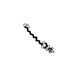 CCCCCCCCCCCCC1OCC(OS(=O)(=O)O)CO1